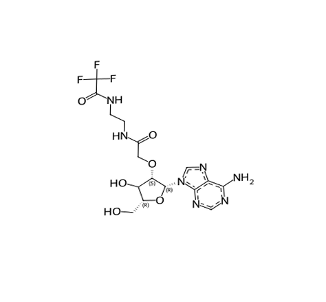 Nc1ncnc2c1ncn2[C@@H]1O[C@H](CO)C(O)[C@@H]1OCC(=O)NCCNC(=O)C(F)(F)F